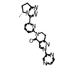 C[C@@H]1CCc2nnc(-c3cccc(N4CCc5nn(-c6cnccn6)cc5C4=O)n3)n21